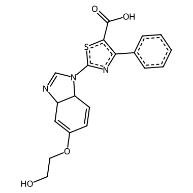 O=C(O)c1sc(N2C=NC3C=C(OCCO)C=CC32)nc1-c1ccccc1